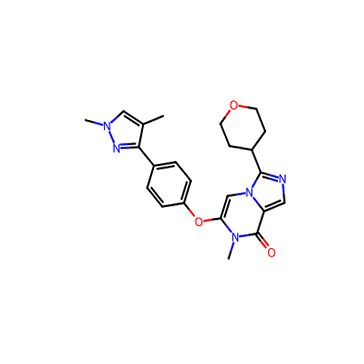 Cc1cn(C)nc1-c1ccc(Oc2cn3c(C4CCOCC4)ncc3c(=O)n2C)cc1